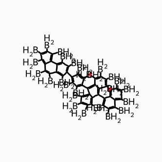 Bc1c(B)c(-c2c3c(B)c(B)c(B)c(B)c3c(-c3c(B)c(B)c(B)c4c(B)c(B)c(B)c(B)c34)c3c(B)c(B)c(B)c(B)c23)c(B)c(B)c1-c1c(B)c(B)c2c(c1B)c(B)c(B)c1c(B)c(B)c(B)c(B)c12